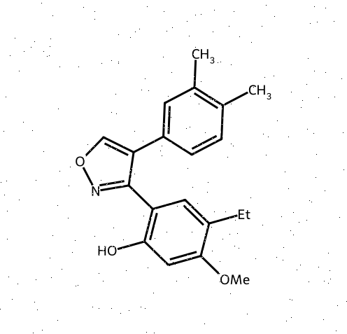 CCc1cc(-c2nocc2-c2ccc(C)c(C)c2)c(O)cc1OC